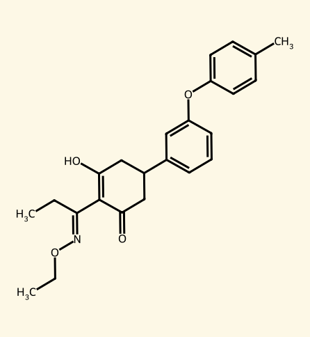 CCON=C(CC)C1=C(O)CC(c2cccc(Oc3ccc(C)cc3)c2)CC1=O